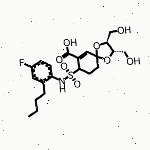 CCCCc1cc(F)ccc1NS(=O)(=O)C1CCC2(C=C1C(=O)O)O[C@@H](CO)[C@H](CO)O2